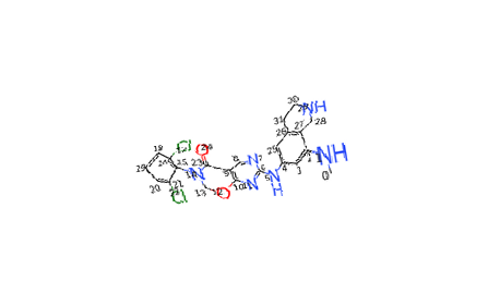 CNc1cc(Nc2ncc3c(n2)OCN(c2c(Cl)cccc2Cl)C3=O)cc2c1CNCC2